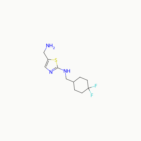 NCc1cnc(NCC2CCC(F)(F)CC2)s1